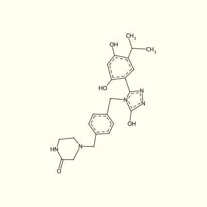 CC(C)c1cc(-c2nnc(O)n2Cc2ccc(CN3CCNC(=O)C3)cc2)c(O)cc1O